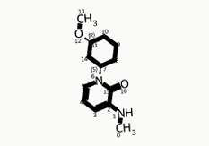 CNc1cccn([C@H]2CCC[C@@H](OC)C2)c1=O